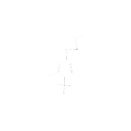 CN(C)C(=O)Nc1ccc(C(F)(F)Cl)c(Cl)c1S